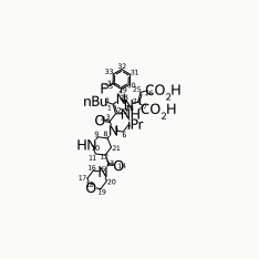 CCCCC1=C(C(=O)N(CC(C)C)[C@@H]2CNC[C@H](C(=O)N3CCOCC3)C2)NN(/C(=C/C(=O)O)C(=O)O)N1c1ccccc1F